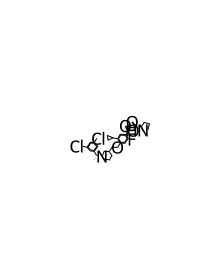 C[C@H](c1cc(Cl)cc(Cl)c1)N1CCCC(COc2cc(F)c(C(=O)OC(=O)[C@@H]3CCCN3)cc2C2CC2)C1